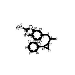 CC(C)c1nc2ccc(CC(C)C3CC3c3ccccc3)cc2o1